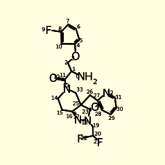 NC(COc1cccc(F)c1)C(=O)N1CCC2=NN(CC(F)F)C(=O)C2(Cc2ccccn2)C1